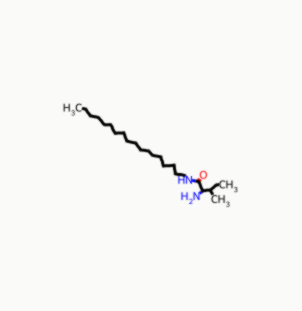 CCCCCCCCCCCCCCCCCCNC(=O)C(N)C(C)CC